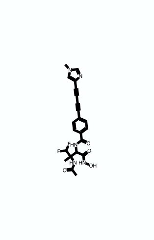 CC(=O)NC(C)(C(F)F)C(NC(=O)c1ccc(C#CC#Cc2cn(C)cn2)cc1)C(=O)NO